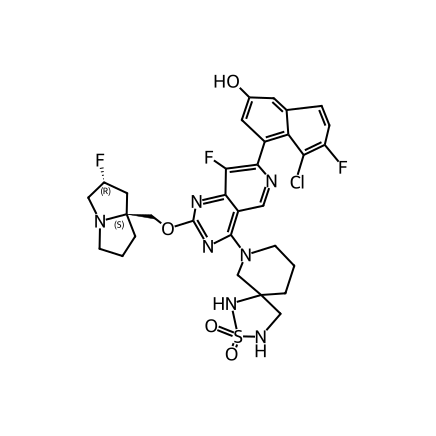 O=S1(=O)NCC2(CCCN(c3nc(OC[C@@]45CCCN4C[C@H](F)C5)nc4c(F)c(-c5cc(O)cc6ccc(F)c(Cl)c56)ncc34)C2)N1